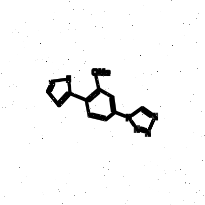 COc1cc(-n2cnnn2)ccc1-c1cc[c]s1